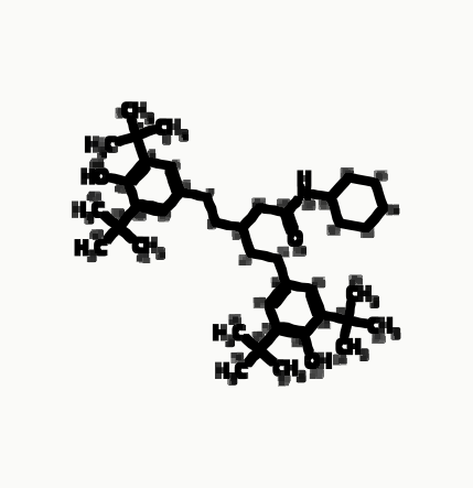 CC(C)(C)c1cc(CCC(CCc2cc(C(C)(C)C)c(O)c(C(C)(C)C)c2)CC(=O)NC2CCCCC2)cc(C(C)(C)C)c1O